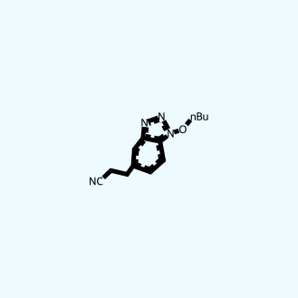 CCCCOn1nnc2cc(CCC#N)ccc21